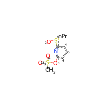 CCC[S+]([O-])c1cccc(OS(C)(=O)=O)n1